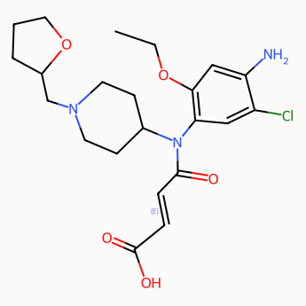 CCOc1cc(N)c(Cl)cc1N(C(=O)/C=C/C(=O)O)C1CCN(CC2CCCO2)CC1